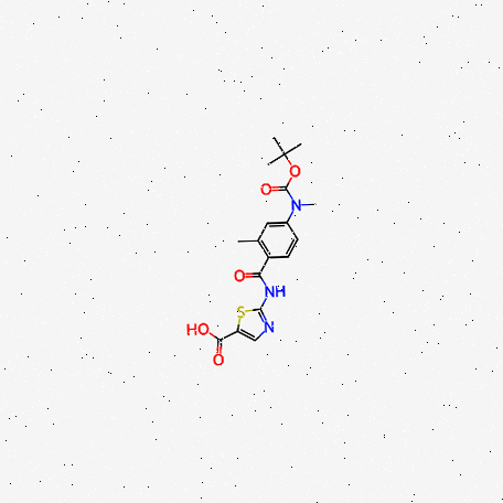 Cc1cc(N(C)C(=O)OC(C)(C)C)ccc1C(=O)Nc1ncc(C(=O)O)s1